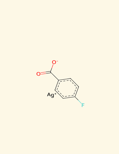 O=C([O-])c1ccc(F)cc1.[Ag+]